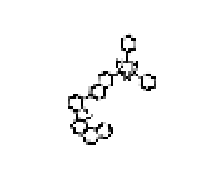 c1ccc(-c2nc(-c3ccccc3)nc(-c3ccc4cc(-c5cccc6c5sc5c6ccc6ccc7ccccc7c65)ccc4c3)n2)cc1